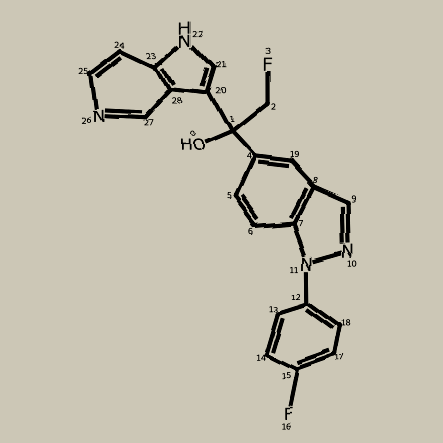 OC(CF)(c1ccc2c(cnn2-c2ccc(F)cc2)c1)c1c[nH]c2ccncc12